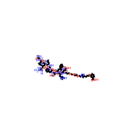 CC(C)CC(NC(=O)CNC(=O)C(Cc1ccc(O)cc1)NC(=O)C(CO)NC(=O)C(Cc1c[nH]c2ccccc12)NC(=O)C(Cc1c[nH]cn1)NC(=O)C(CCC(=O)O)NC(=O)CCOCCOCCOCCn1cc(CCCOc2cccc(C(=O)O)c2)nn1)C(=O)NC(CCCNC(=N)N)C(=O)N1CCCC1C(=O)NCC(N)=O